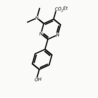 CCOC(=O)c1cnc(-c2ccc(O)cc2)nc1N(C)C